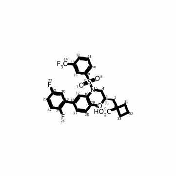 O=C(O)C1(C[C@@H]2CN(S(=O)(=O)c3cccc(C(F)(F)F)c3)c3cc(-c4cc(F)ccc4F)ccc3O2)CCC1